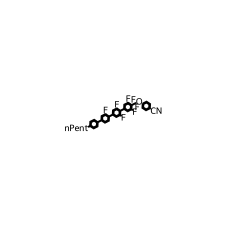 CCCCCc1ccc(-c2ccc(-c3cc(F)c(-c4cc(F)c(C(F)(F)Oc5ccc(C#N)cc5)c(F)c4)c(F)c3)c(F)c2)cc1